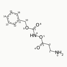 NCCC(=O)ONC(=O)OCc1ccccc1